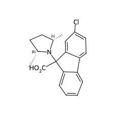 C[C@@H]1CC[C@H](C)N1C1(C(=O)O)c2ccccc2-c2ccc(Cl)cc21